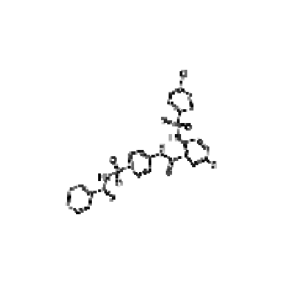 O=C(NS(=O)(=O)c1ccc(NC(=O)c2cc(Cl)ccc2NS(=O)(=O)c2ccc(Cl)cc2)cc1)c1ccccc1